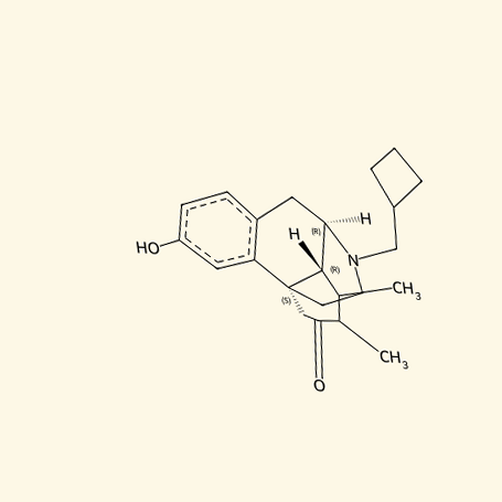 CC1C(=O)C[C@]23CCN(CC4CCC4)[C@H](Cc4ccc(O)cc42)[C@@H]3C1C